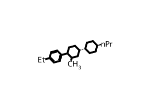 CCC[C@H]1CC[C@H](C2CCC(c3ccc(CC)cc3)C(C)C2)CC1